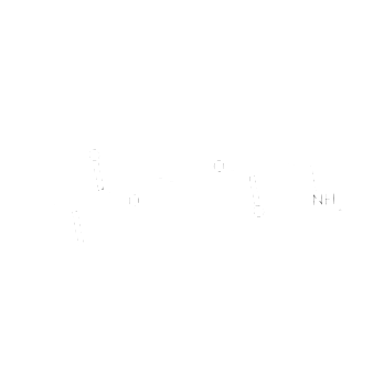 C=C(C)C(=O)OCCOC(=O)/C=C(/C)N